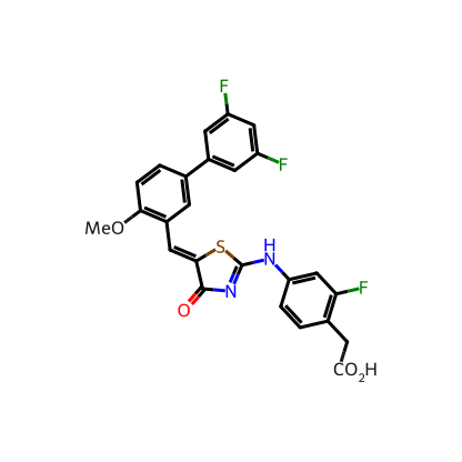 COc1ccc(-c2cc(F)cc(F)c2)cc1C=C1SC(Nc2ccc(CC(=O)O)c(F)c2)=NC1=O